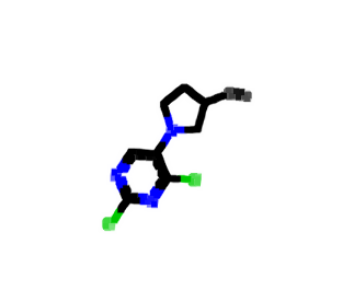 COC1CCN(c2cnc(Cl)nc2Cl)C1